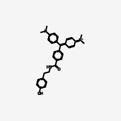 CN(C)c1ccc(C(=C2C=CC(=[N+](C)C)C=C2)c2ccc(C(=O)NCCc3ccc(O)cc3)cc2)cc1